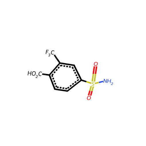 NS(=O)(=O)c1ccc(C(=O)O)c(C(F)(F)F)c1